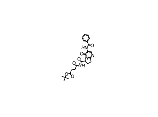 CC(C)(C)OC(=O)CCC(=O)NC(=O)C1CCc2ncc(NC(=O)c3ccccc3)c(=O)n21